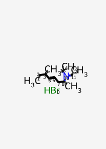 Br.CCC(C)C=CCC(C)N(CC)CC